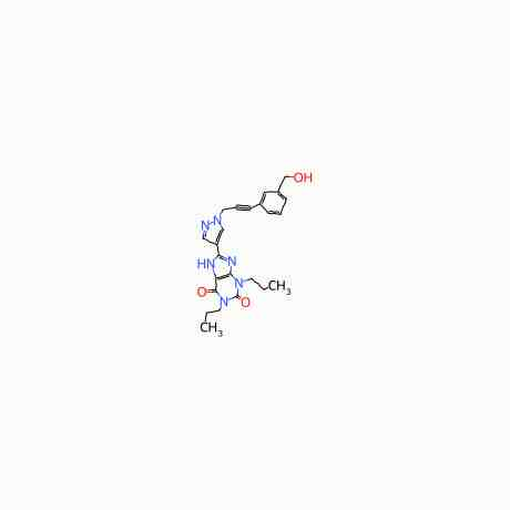 CCCn1c(=O)c2[nH]c(-c3cnn(CC#Cc4cccc(CO)c4)c3)nc2n(CCC)c1=O